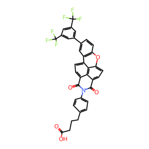 O=C(O)CCCc1ccc(-n2c(=O)c3ccc4oc5ccc(-c6cc(C(F)(F)F)cc(C(F)(F)F)c6)cc5c5ccc(c2=O)c3c45)cc1